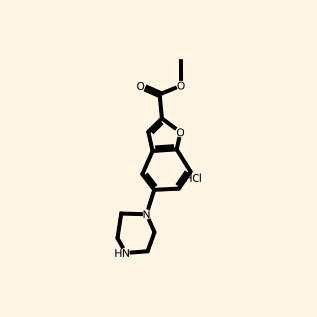 COC(=O)c1cc2cc(N3CCNCC3)ccc2o1.Cl